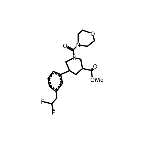 COC(=O)C1CC(c2cccc(CC(F)F)c2)CN(C(=O)N2CCOCC2)C1